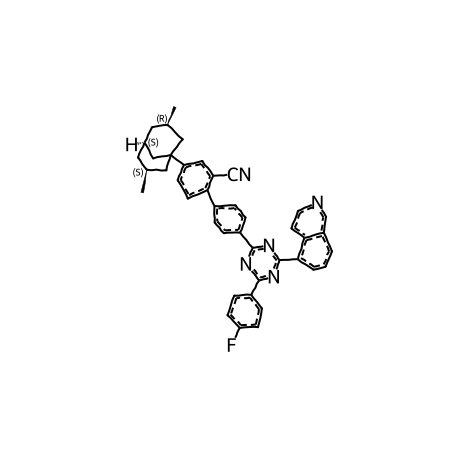 C[C@@H]1C[C@@H]2C[C@H](C)CC(c3ccc(-c4ccc(-c5nc(-c6ccc(F)cc6)nc(-c6cccc7cnccc67)n5)cc4)c(C#N)c3)(C1)C2